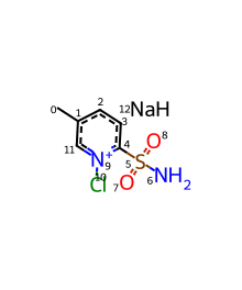 Cc1ccc(S(N)(=O)=O)[n+](Cl)c1.[NaH]